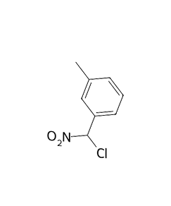 Cc1cccc(C(Cl)[N+](=O)[O-])c1